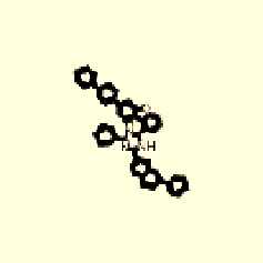 c1ccc(C2=NC(c3ccc4ccc(-c5ccccc5)cc4c3)NC(c3cccc4oc5cc(-c6ccc(-c7ccccc7)cc6)ccc5c34)N2)cc1